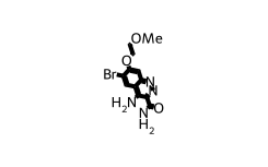 COCCOc1cc2nnc(C(N)=O)c(N)c2cc1Br